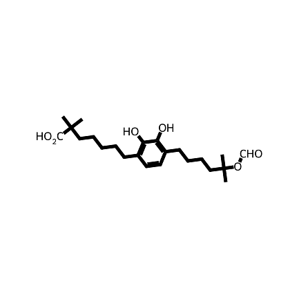 CC(C)(CCCCc1ccc(CCCCCC(C)(C)C(=O)O)c(O)c1O)OC=O